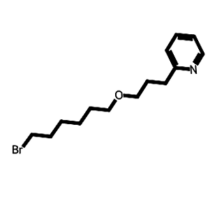 BrCCCCCCOCCCc1ccccn1